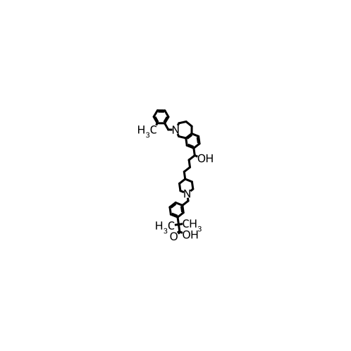 Cc1ccccc1CN1CCCc2ccc(C(O)CCCC3CCN(Cc4cccc(C(C)(C)C(=O)O)c4)CC3)cc2C1